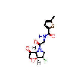 Cc1ccc(C(=O)NCC(=O)N2C[C@H](F)[C@H]3OCC(=O)[C@H]32)s1